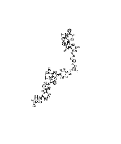 CN(CCOCCCc1cccc2c1n(C)c(=O)n2C1CCC(=O)NC1=O)CC[C@H]1CC[C@H](C2C=C(NC(=O)c3coc(-c4ccnc(NCC5CC5)c4)n3)C(C(F)F)=N2)CC1